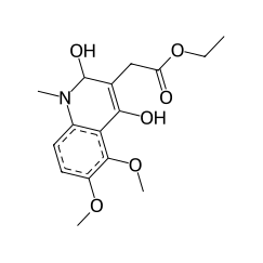 CCOC(=O)CC1=C(O)c2c(ccc(OC)c2OC)N(C)C1O